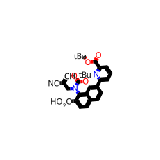 C=C(C#N)CN(C(=O)OC(C)(C)C)c1c(C(=O)O)ccc2ccc(-c3cccc(C(=O)OC(C)(C)C)n3)cc12